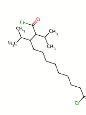 CC(C)C(CCCCCCCCC(=O)Cl)C(C(=O)Cl)C(C)C